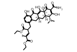 CCOC(=O)/C(I)=C/C(Cc1ccc(O)c2c1C[C@H]1C[C@H]3[C@H](N(C)C)C(O)=C(C(N)=O)C(=O)[C@@]3(O)C(O)=C1C2=O)C(=O)OCC